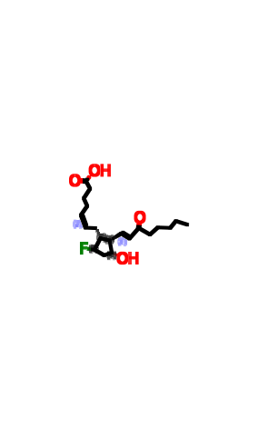 CCCCCC(=O)/C=C/[C@@H]1[C@@H](C/C=C\CCCC(=O)O)[C@H](F)C[C@H]1O